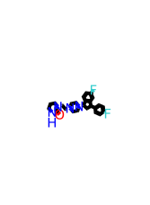 O=C1NCCCN1CCN1CCN(C2CC(c3ccc(F)cc3)c3cc(F)ccc32)CC1